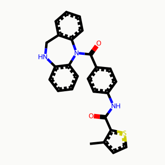 Cc1ccsc1C(=O)Nc1ccc(C(=O)N2c3ccccc3CNc3ccccc32)cc1